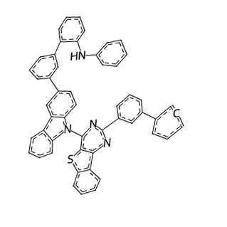 c1ccc(Nc2ccccc2-c2cccc(-c3ccc4c(c3)c3ccccc3n4-c3nc(-c4cccc(-c5ccccc5)c4)nc4c3sc3ccccc34)c2)cc1